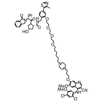 COc1cc(Nc2c(C#N)cnc3cc(OCCCN4CCN(CCCCCCOCCOCCOCCOc5cc(-c6scnc6C)ccc5CNC(=O)[C@@H]5C[C@@H](O)CC5C(=O)[C@H](C(C)C)N5Cc6ccccc6C5=O)CC4)c(OC)cc23)c(Cl)cc1Cl